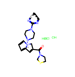 Cl.Cl.Cl.O=C(C1=CC2=CC=C[N@@+]2(N2CCN(c3ncccn3)CC2)C1)N1CCSC1